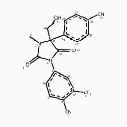 CN1C(=O)N(c2ccc(C#N)c(C(F)(F)F)c2)C(=O)C1(CO)c1ccc(C#N)cc1